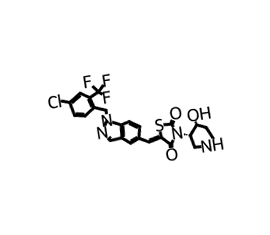 O=C1S/C(=C\c2ccc3c(cnn3Cc3ccc(Cl)cc3C(F)(F)F)c2)C(=O)N1[C@H]1CNCC[C@@H]1O